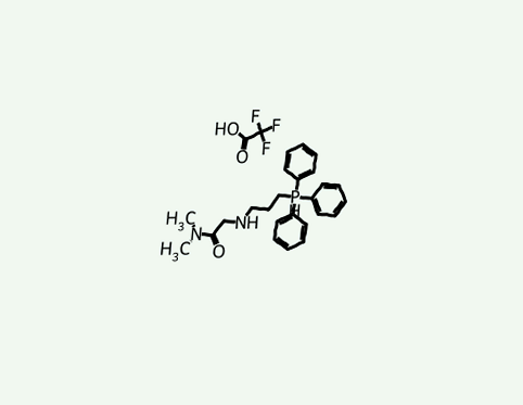 CN(C)C(=O)CNCCC[PH](c1ccccc1)(c1ccccc1)c1ccccc1.O=C(O)C(F)(F)F